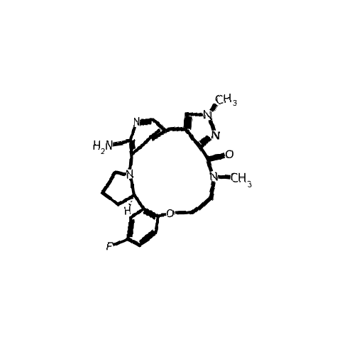 CN1CCOc2ccc(F)cc2[C@H]2CCCN2c2cc(cnc2N)-c2cn(C)nc2C1=O